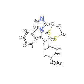 CC(=O)OC1CCC(C2(CC3c4ccccc4-c4cncn43)SCCCS2)CC1